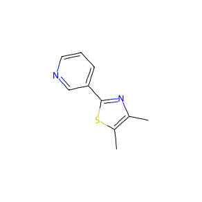 Cc1nc(-c2cccnc2)sc1C